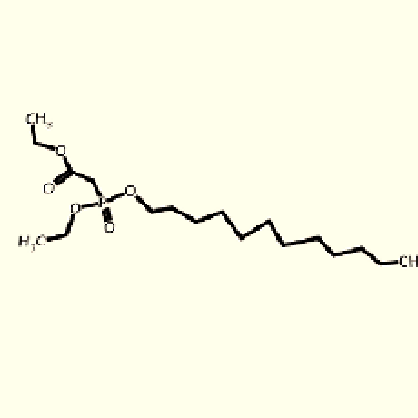 CCCCCCCCCCCCOP(=O)(CC(=O)OCC)OCC